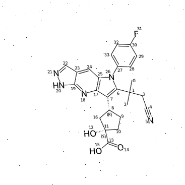 CC(C)(CC#N)c1c([C@@H]2CC[C@@](O)(C(=O)O)C2)c2nc3[nH]ncc3cc2n1-c1ccc(F)cc1